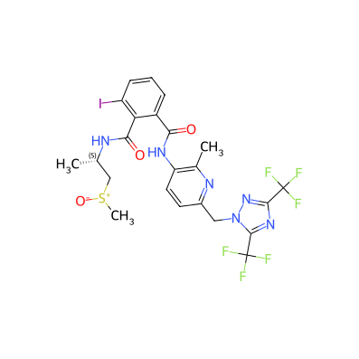 Cc1nc(Cn2nc(C(F)(F)F)nc2C(F)(F)F)ccc1NC(=O)c1cccc(I)c1C(=O)N[C@@H](C)C[S+](C)[O-]